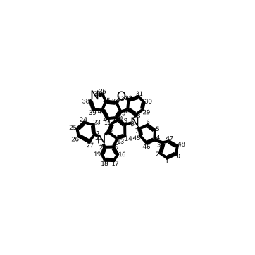 c1ccc(-c2ccc(N(c3ccc4c(c3)c3ccccc3n4-c3ccccc3)c3cccc4oc5c6cnccc6ccc5c34)cc2)cc1